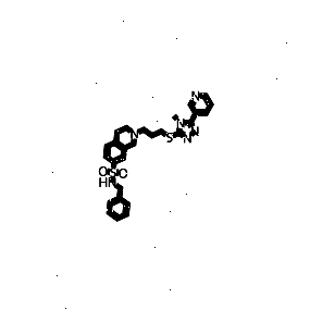 Cn1c(SCCCN2CCc3ccc(S(=O)(=O)NCc4ccccc4)cc3C2)nnc1-c1cccnc1